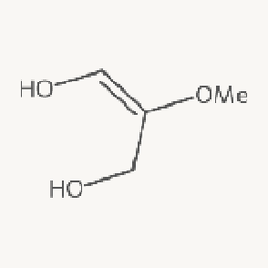 COC(=CO)CO